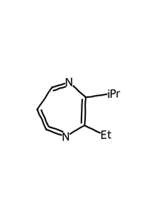 CCC1=C(C(C)C)N=CC=C=N1